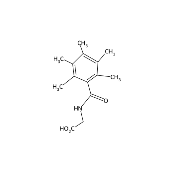 Cc1c(C)c(C)c(C(=O)NCC(=O)O)c(C)c1C